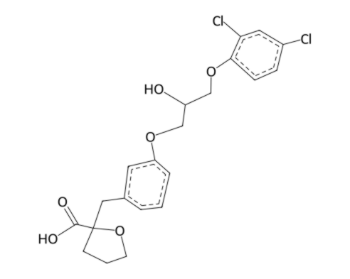 O=C(O)C1(Cc2cccc(OCC(O)COc3ccc(Cl)cc3Cl)c2)CCCO1